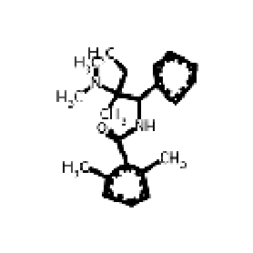 CCC(C)(C(NC(=O)c1c(C)cccc1C)c1ccccc1)N(C)C